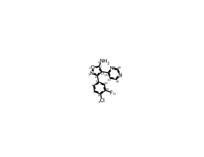 Nc1onc(-c2ccc(Cl)c(F)c2)c1-c1ccncn1